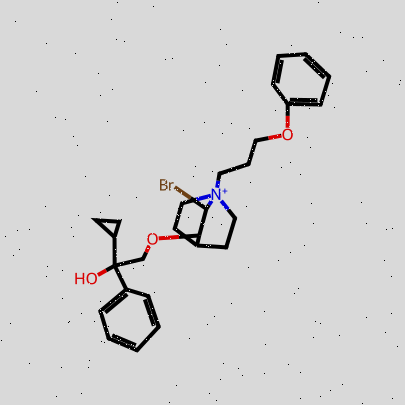 OC(COC1C2CC[N+](CCCOc3ccccc3)(CC2)C1Br)(c1ccccc1)C1CC1